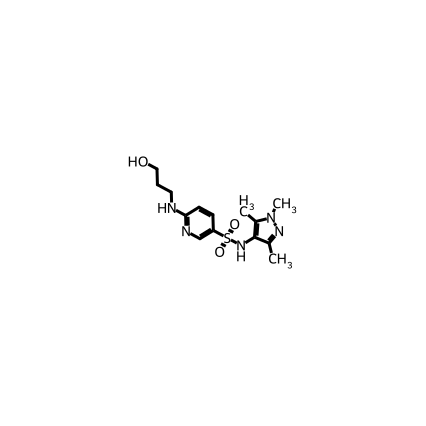 Cc1nn(C)c(C)c1NS(=O)(=O)c1ccc(NCCCO)nc1